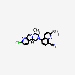 Bc1ccc2c(N3C[C@@H](C)N4Cc5nc(Cl)ccc5[C@H]4C3)ccc(C#N)c2n1